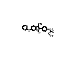 CCn1c(-c2ccc(NC(=O)OC(C)C)cc2)c(C#N)c2ccc(Oc3ncccn3)cc21